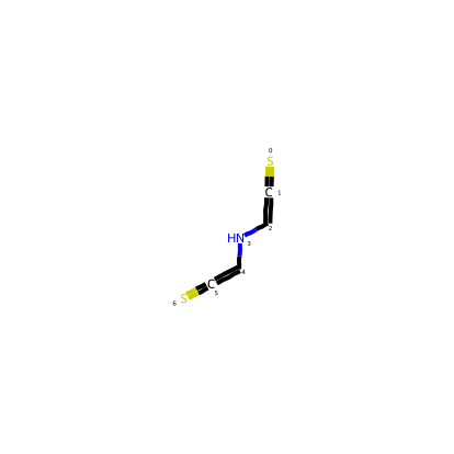 S=C=CNC=C=S